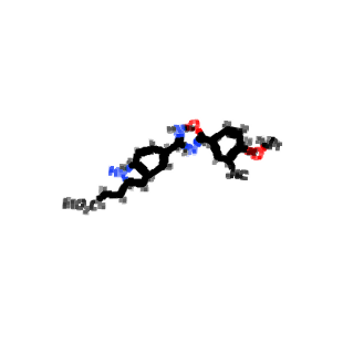 [C-]#[N+]c1cc(-c2nc(-c3ccc4[nH]c(CCC(=O)OCC)cc4c3)no2)ccc1OC(C)C